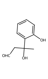 CC(O)(CC=O)c1ccccc1O